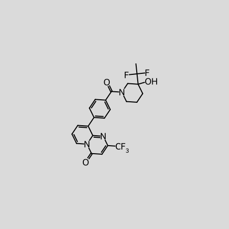 CC(F)(F)C1(O)CCCN(C(=O)c2ccc(-c3cccn4c(=O)cc(C(F)(F)F)nc34)cc2)C1